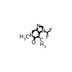 Cc1c(=O)n(C)cc2ncn(C(F)F)c12